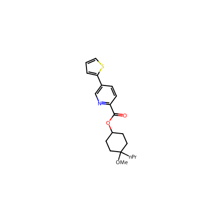 CCCC1(OC)CCC(OC(=O)c2ccc(-c3cccs3)cn2)CC1